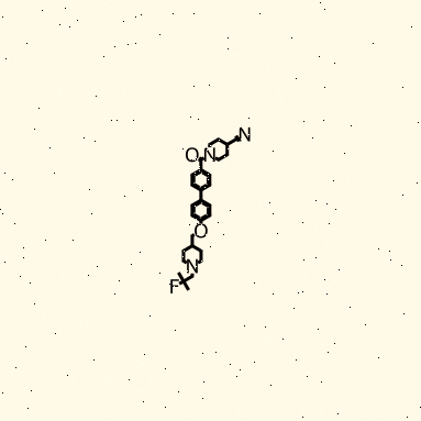 CC(C)(F)CN1CCC(COc2ccc(-c3ccc(C(=O)N4CCC(C#N)CC4)cc3)cc2)CC1